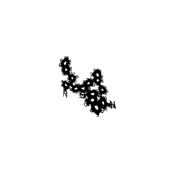 CC1(C)c2ccccc2-c2c(N(c3cccc(C#N)c3)c3cccc(-c4ccc5ccccc5c4)c3)cc3c(sc4c5ccc(N(c6cccc(C#N)c6)c6cccc(-c7ccc8ccccc8c7)c6)cc5c5ccccc5c34)c21